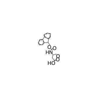 O=CC(CC(=O)O)NC(=O)OCC1c2ccccc2-c2ccccc21